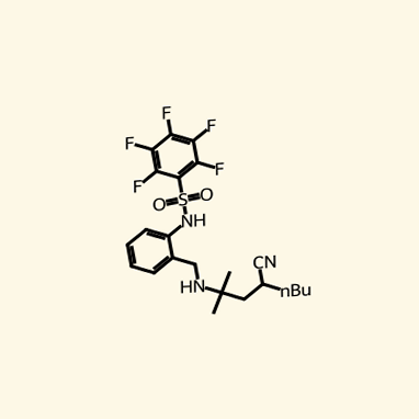 CCCCC(C#N)CC(C)(C)NCc1ccccc1NS(=O)(=O)c1c(F)c(F)c(F)c(F)c1F